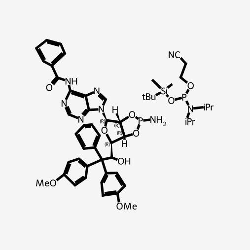 CC(C)N(C(C)C)P(OCCC#N)O[Si](C)(C)C(C)(C)C.COc1ccc(C(c2ccccc2)(c2ccc(OC)cc2)C(O)[C@H]2O[C@@H](n3cnc4c(NC(=O)c5ccccc5)ncnc43)[C@@H]3OP(N)O[C@@H]32)cc1